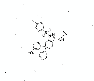 COc1cccc(C2(c3ccccc3)C=Cc3c(NC4CC4)nn(S(=O)(=O)c4ccc(C)cc4)c3C2)c1